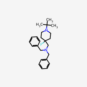 CC(C)(C)N1CCC(F)(CN(Cc2ccccc2)Cc2ccccc2)CC1